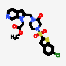 COC(=O)Cn1c(CN2CCN(S(=O)(=O)c3cc4ccc(Cl)cc4s3)CC2=O)cc2ccncc21